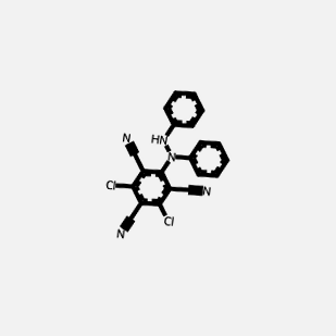 N#Cc1c(Cl)c(C#N)c(N(Nc2ccccc2)c2ccccc2)c(C#N)c1Cl